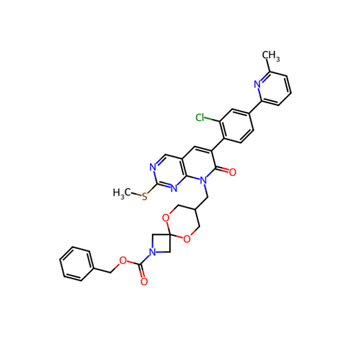 CSc1ncc2cc(-c3ccc(-c4cccc(C)n4)cc3Cl)c(=O)n(CC3COC4(CN(C(=O)OCc5ccccc5)C4)OC3)c2n1